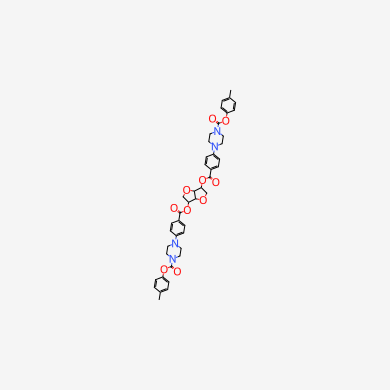 Cc1ccc(OC(=O)N2CCN(c3ccc(C(=O)OC4COC5C(OC(=O)c6ccc(N7CCN(C(=O)Oc8ccc(C)cc8)CC7)cc6)COC45)cc3)CC2)cc1